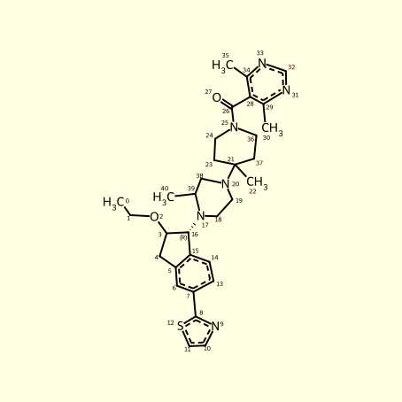 CCOC1Cc2cc(-c3nccs3)ccc2[C@H]1N1CCN(C2(C)CCN(C(=O)c3c(C)ncnc3C)CC2)CC1C